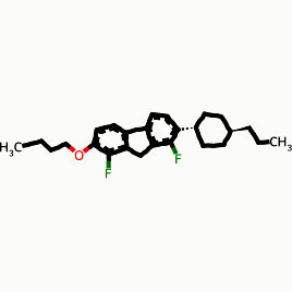 CCCCOc1ccc2c(c1F)Cc1c-2ccc([C@H]2CC[C@H](CCC)CC2)c1F